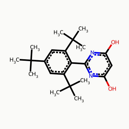 CC(C)(C)c1cc(C(C)(C)C)c(-c2nc(O)cc(O)n2)c(C(C)(C)C)c1